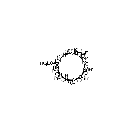 C/C=C/C[C@@H](C)[C@@H](O)C1C(=O)N[C@@H](CC)C(=O)N(C)[C@H](C)C(=O)N(C)[C@@H]([C@H](C)COCC(C)(C)O)C(=O)N[C@@H](C(C)C)C(=O)N(C)[C@@H](CC(C)C)C(=O)N[C@@H](C)C(=O)N[C@H](C)C(=O)N(C)[C@@H](CC(C)C)C(=O)N(C)[C@@H](CC(C)C)C(=O)N(C)[C@@H](C(C)C)C(=O)N1C